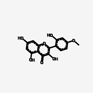 COc1ccc(-c2oc3cc(O)cc(O)c3c(=O)c2O)c(O)c1